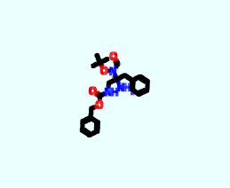 CC(C)(C)ON(C=O)[C@@](N)(CNC(=O)OCc1ccccc1)Cc1ccccc1